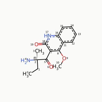 CC[C@@](C)(N)C(=O)c1c(OC)c2ccccc2[nH]c1=O